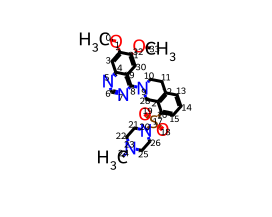 COc1cc2ncnc(N3CCc4cccc(S(=O)(=O)N5CCN(C)CC5)c4C3)c2cc1OC